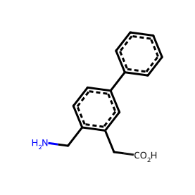 NCc1ccc(-c2ccccc2)cc1CC(=O)O